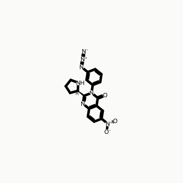 [N-]=[N+]=Nc1cccc(-n2c([C@H]3CCCN3)nc3ccc([N+](=O)[O-])cc3c2=O)c1